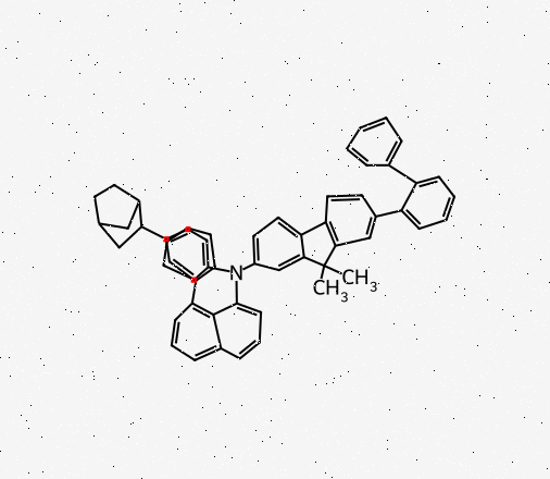 CC1(C)c2cc(-c3ccccc3-c3ccccc3)ccc2-c2ccc(N(c3ccc(C4CC5CCC4C5)cc3)c3cccc4cccc(C5CCCCC5)c34)cc21